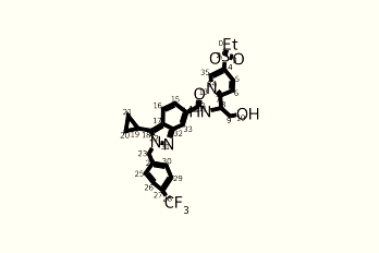 CCS(=O)(=O)c1ccc(C(CO)NC(=O)c2ccc3c(C4CC4)n(Cc4ccc(C(F)(F)F)cc4)nc3c2)nc1